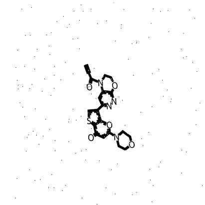 C#CC(=O)N1CCOc2nnc(-c3csc4c(=O)cc(N5CCOCC5)oc34)cc21